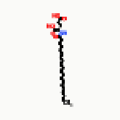 CCCCCCCCCCCCCCCCCCCC(=O)N[C@@H](CCC(=O)O)C(=O)O